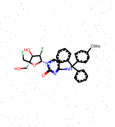 COc1ccc(C(Nc2ccn([C@@H]3O[C@@](CO)(CF)[C@@H](O)[C@H]3F)c(=O)n2)(c2ccccc2)c2ccccc2)cc1